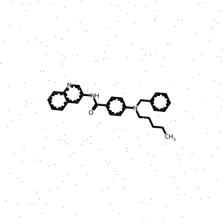 CCCCCN(Cc1ccccc1)c1ccc(C(=O)Nc2cnc3ccccc3c2)cc1